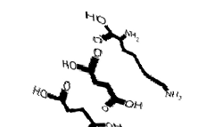 NCCCCC(N)C(=O)O.O=C(O)CCC(=O)O.O=C(O)CCC(=O)O